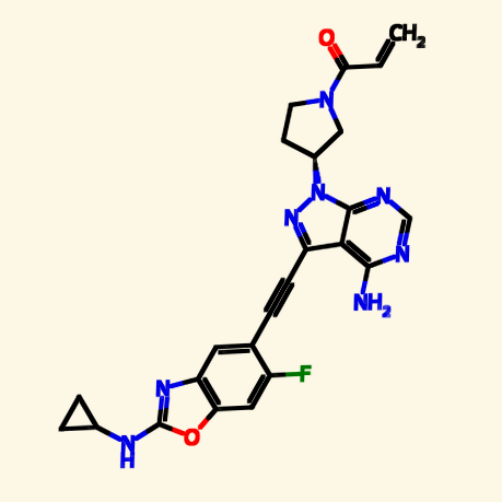 C=CC(=O)N1CC[C@H](n2nc(C#Cc3cc4nc(NC5CC5)oc4cc3F)c3c(N)ncnc32)C1